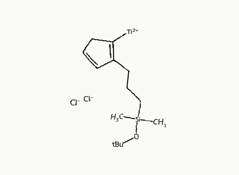 CC(C)(C)O[Si](C)(C)CCCC1=[C]([Ti+2])CC=C1.[Cl-].[Cl-]